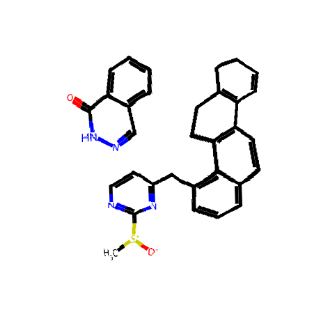 C[S+]([O-])c1nccc(Cc2cccc3ccc4c(c23)CCC2=C4C=CCC2)n1.O=c1[nH]ncc2ccccc12